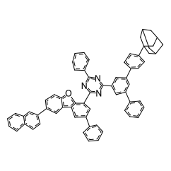 c1ccc(-c2cc(-c3ccc(C45CC6CC(CC(C6)C4)C5)cc3)cc(-c3nc(-c4ccccc4)nc(-c4cc(-c5ccccc5)cc5c4oc4ccc(-c6ccc7ccccc7c6)cc45)n3)c2)cc1